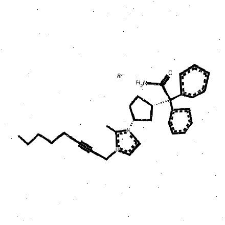 CCCCCC#CC[n+]1ccn([C@@H]2CC[C@H](C(C(N)=O)(c3ccccc3)c3ccccc3)C2)c1C.[Br-]